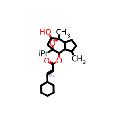 CC1CCC2C1C(OC(=O)/C=C/C1CCCCC1)C1(C(C)C)CC(O)C2(C)O1